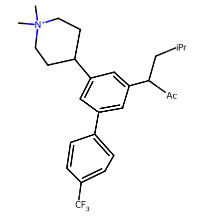 CC(=O)C(CC(C)C)c1cc(-c2ccc(C(F)(F)F)cc2)cc(C2CC[N+](C)(C)CC2)c1